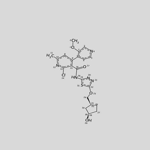 COc1cnccc1-c1cc(C)nc(Cl)c1C(=O)Nc1nnc(OC[C@H]2CC[C@@H](O)C2)s1